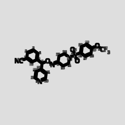 N#Cc1cccc(C(ON=C2CCN(S(=O)(=O)c3ccc(OC(F)(F)F)cc3)CC2)c2ccncc2)c1